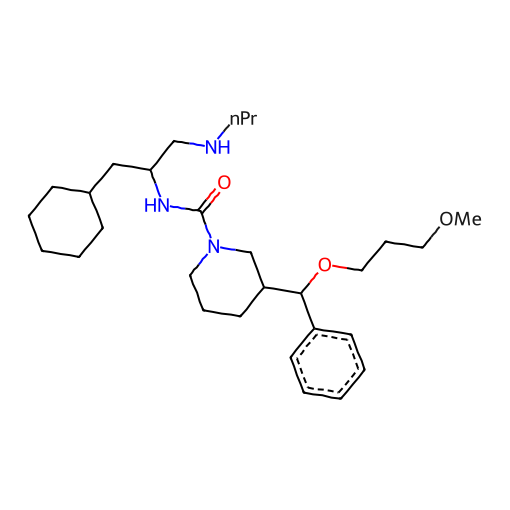 CCCNCC(CC1CCCCC1)NC(=O)N1CCCC(C(OCCCOC)c2ccccc2)C1